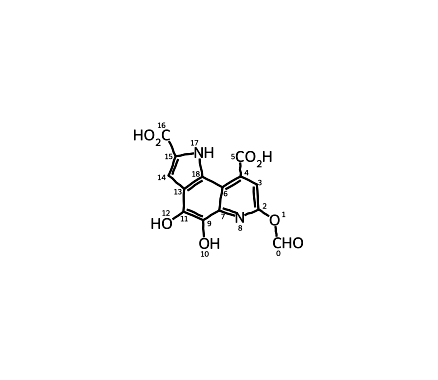 O=COc1cc(C(=O)O)c2c(n1)c(O)c(O)c1cc(C(=O)O)[nH]c12